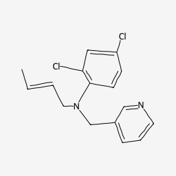 CC=CCN(Cc1cccnc1)c1ccc(Cl)cc1Cl